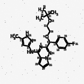 Cc1cc(Nc2nc(C(OCCOC(C)(C)C)c3ccc(F)cc3)nn3cccc23)n[nH]1